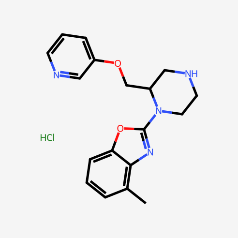 Cc1cccc2oc(N3CCNCC3COc3cccnc3)nc12.Cl